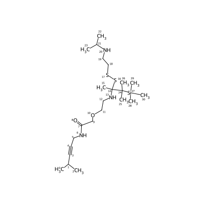 CC(C)C#CCNC(=O)COCCNC(C)(SSCCNC(C)C)C(C)(C)[Si](C)(C)C